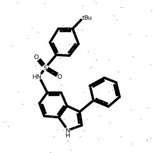 CC(C)(C)c1ccc(S(=O)(=O)Nc2ccc3[nH]cc(-c4ccccc4)c3c2)cc1